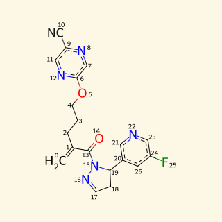 C=C(CCCOc1cnc(C#N)cn1)C(=O)N1N=CCC1c1cncc(F)c1